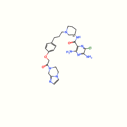 Nc1nc(N)c(C(=O)N[C@H]2CCCN(CCCc3ccc(OCC(=O)N4CCn5ccnc5C4)cc3)C2)nc1Cl